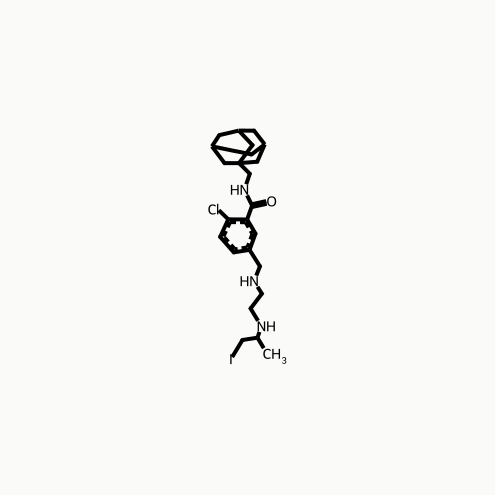 CC(CI)NCCNCc1ccc(Cl)c(C(=O)NCC23CC4CC(CC(C4)C2)C3)c1